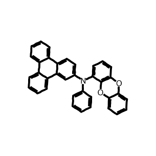 c1ccc(N(c2ccc3c4ccccc4c4ccccc4c3c2)c2cccc3c2Oc2ccccc2O3)cc1